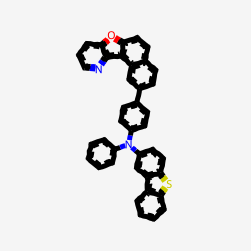 c1ccc(N(c2ccc(-c3ccc4ccc5oc6cccnc6c5c4c3)cc2)c2ccc3sc4ccccc4c3c2)cc1